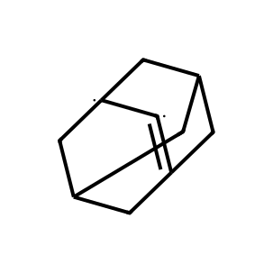 [C]1=C2CC3C[C]1CC(C2)C3